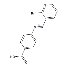 O=C(O)c1ccc(/N=C/c2cccnc2Br)cc1